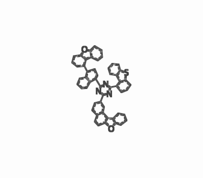 c1ccc2c(c1)oc1cccc(-c3ccc(-c4nc(-c5ccc6ccc7oc8ccccc8c7c6c5)nc(-c5cccc6sc7ccccc7c56)n4)c4ccccc34)c12